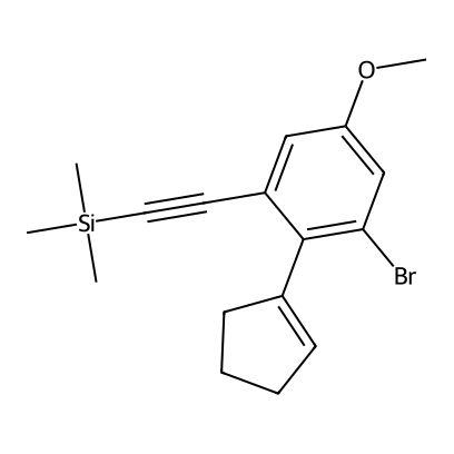 COc1cc(Br)c(C2=CCCC2)c(C#C[Si](C)(C)C)c1